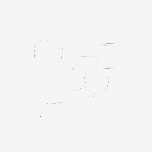 Cc1cccc(C2(Cc3cccc(S(C)(=O)=O)c3)CN(C[C@@H](O)C(F)(F)F)c3ccccc32)c1